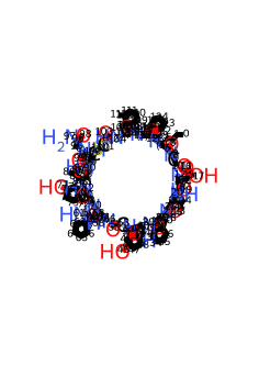 CCCC[C@H]1C(=O)N(C)CC(=O)N[C@@H](CC(=O)O)C(=O)N[C@@H](C(C)C)C(=O)N(C)[C@@H](Cc2ccccc2)C(=O)N[C@@H](Cc2ccc(O)cc2)C(=O)N(C)CC(=O)N[C@@H](Cc2c[nH]c3ccccc23)C(=O)N[C@@H](Cc2ccc(O)cc2)C(=O)N[C@@H](CC(C)C)C(=O)N[C@H](C(=O)NCC(N)=O)CSCC(=O)N[C@@H](Cc2ccccc2C)C(=O)N(C)[C@@H](Cc2ccccc2)C(=O)N1C